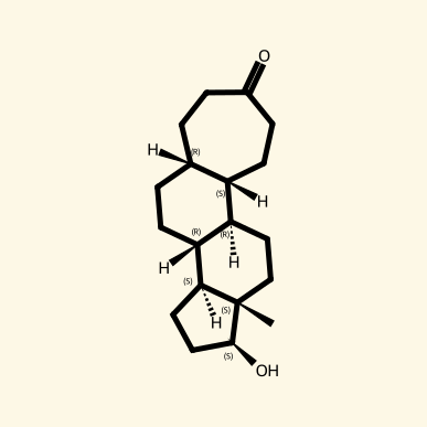 C[C@]12CC[C@H]3[C@@H](CC[C@@H]4CCC(=O)CC[C@@H]43)[C@@H]1CC[C@@H]2O